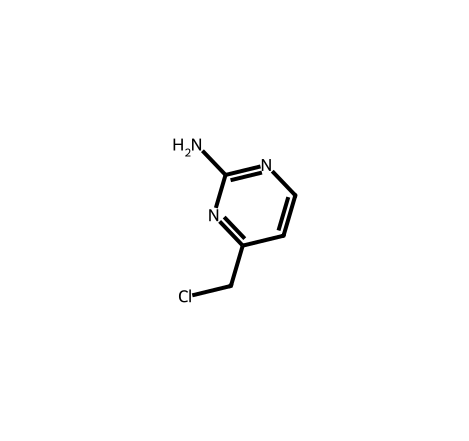 Nc1nccc(CCl)n1